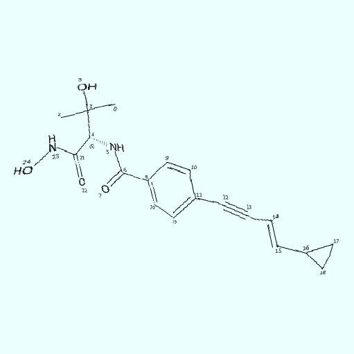 CC(C)(O)[C@H](NC(=O)c1ccc(C#CC=CC2CC2)cc1)C(=O)NO